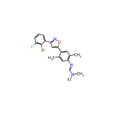 CCN(C)C=Nc1cc(C)c(-c2cc(-c3cccc(F)c3Br)no2)cc1C